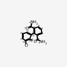 NC(=O)c1cccc(C(N)=O)c1-c1cccc(Cl)c1F